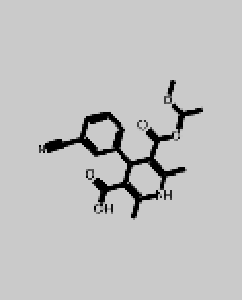 COC(C)OC(=O)C1=C(C)NC(C)=C(C(=O)O)C1c1cccc(C#N)c1